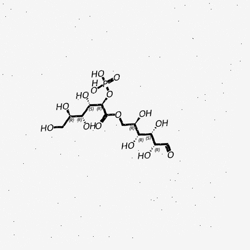 O=C[C@H](O)[C@@H](O)[C@H](O)[C@H](O)COC(=O)[C@H](OP(=O)(O)O)[C@@H](O)[C@H](O)[C@H](O)CO